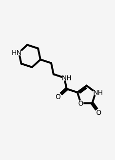 O=C(NCCC1CCNCC1)c1c[nH]c(=O)o1